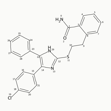 NC(=O)c1ccccc1CCSc1nc(-c2ccc(Cl)cc2)c(-c2ccccc2)[nH]1